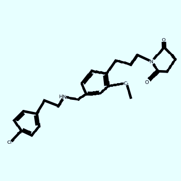 COc1cc(CNCCc2ccc(Cl)cc2)ccc1CCCN1C(=O)CCC1=O